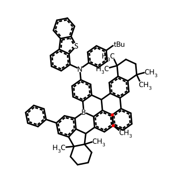 Cc1cc2c3c(c1)C1c4c(cc(-c5ccccc5)cc4C4(C)CCCCC14C)B3c1ccc(N(c3ccc(C(C)(C)C)cc3)c3cccc4c3sc3ccccc34)cc1C2c1cc2c(cc1-c1ccccc1)C(C)(C)CCC2(C)C